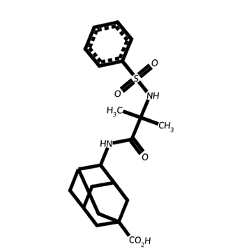 CC(C)(NS(=O)(=O)c1ccccc1)C(=O)NC1C2CC3CC1CC(C(=O)O)(C3)C2